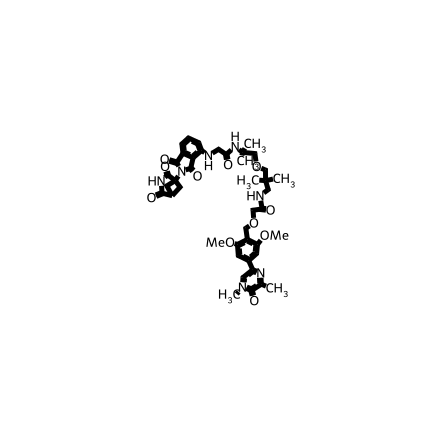 COc1cc(-c2cn(C)c(=O)c(C)n2)cc(OC)c1COCC(=O)NCC(C)(C)COCC(C)(C)NC(=O)CNc1cccc2c1C(=O)N(C13CC(C1)C(=O)NC3=O)C2=O